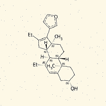 CCC1=C(c2ccoc2)[C@@]2(C)CC[C@H]3[C@@H]([C@@H](CC)C=C4C[C@@H](O)CC[C@@]43C)[C@@H]2C1